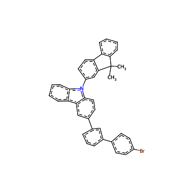 CC1(C)c2ccccc2-c2ccc(-n3c4ccccc4c4cc(-c5cccc(-c6ccc(Br)cc6)c5)ccc43)cc21